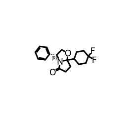 O=C1CCC2(C3CCC(F)(F)CC3)OC[C@@H](c3ccccc3)N12